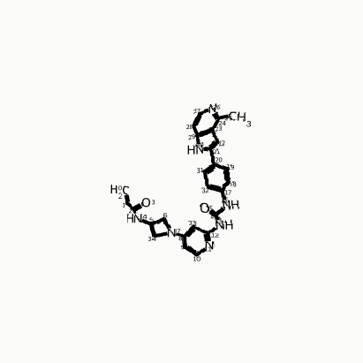 C=CC(=O)NC1CN(c2ccnc(NC(=O)Nc3ccc(-c4cc5c(C)nccc5[nH]4)cc3)c2)C1